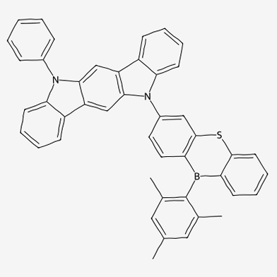 Cc1cc(C)c(B2c3ccccc3Sc3cc(-n4c5ccccc5c5cc6c(cc54)c4ccccc4n6-c4ccccc4)ccc32)c(C)c1